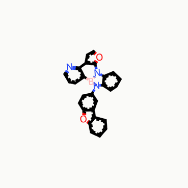 c1cnc2c(c1)B1N(c3ccc4oc5ccccc5c4c3)c3ccccc3N1c1occc1-2